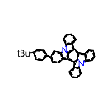 CC(C)(C)c1ccc(-c2ccc3c4c5c6ccccc6n6c7ccccc7c(c7c8ccccc8n(c3c2)c74)c56)cc1